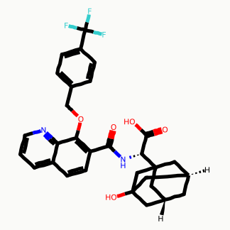 O=C(N[C@H](C(=O)O)C12C[C@@H]3C[C@@H](CC(O)(C3)C1)C2)c1ccc2cccnc2c1OCc1ccc(C(F)(F)F)cc1